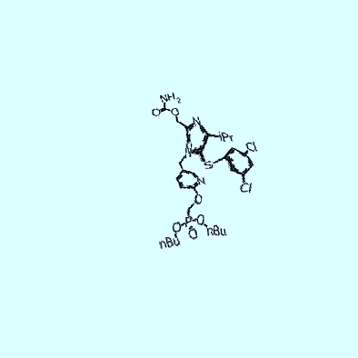 CCCCOP(=O)(COc1ccc(Cn2c(COC(N)=O)nc(C(C)C)c2Sc2cc(Cl)cc(Cl)c2)cn1)OCCCC